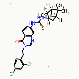 C[C@H]1[C@@H](NC(=S)Nc2ccc3c(=O)n(CCc4ccc(Cl)cc4Cl)cnc3c2)C[C@@H]2C[C@@H]1C2(C)C